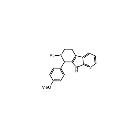 COc1ccc(C2c3[nH]c4ncccc4c3CCN2C(C)=O)cc1